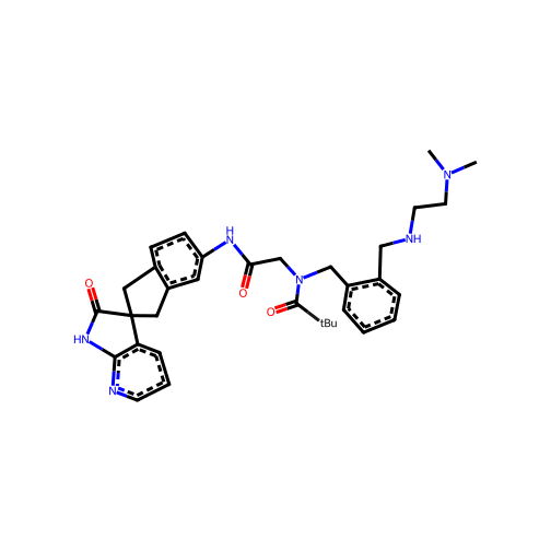 CN(C)CCNCc1ccccc1CN(CC(=O)Nc1ccc2c(c1)CC1(C2)C(=O)Nc2ncccc21)C(=O)C(C)(C)C